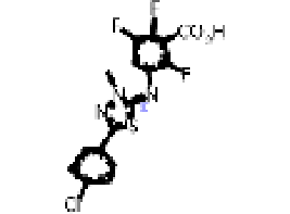 Cn1nc(-c2ccc(Cl)cc2)s/c1=N/c1cc(F)c(F)c(C(=O)O)c1F